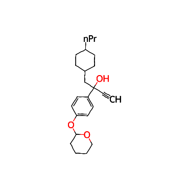 C#CC(O)(CC1CCC(CCC)CC1)c1ccc(OC2CCCCO2)cc1